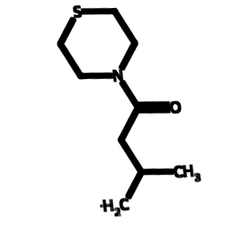 [CH2]C(C)CC(=O)N1CCSCC1